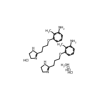 Cc1c(N)cccc1OCCCC1=NCCN1.Cc1c(N)cccc1OCCCC1=NCCN1.Cl.Cl.Cl.Cl.O